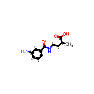 CC(CCNC(=O)c1cccc(N)c1)C(=O)O